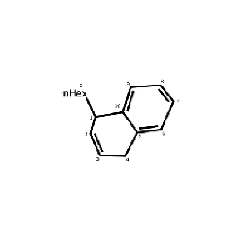 CCCCC[CH]C1C=CCc2ccccc21